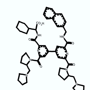 O=C(NCc1ccc2ccccc2c1)c1cc(-c2cc(C(=O)NC(C(=O)O)C3CCCCC3)nc(C(=O)N3CCCC3CN3CCCC3)c2)cc(C(=O)N2CCCC2CN2CCCC2)n1